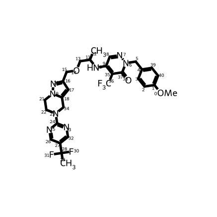 COc1ccc(Cn2ncc(NC(C)COCc3cc4n(n3)CCN(c3ncc(C(C)(F)F)cn3)C4)c(C(F)(F)F)c2=O)cc1